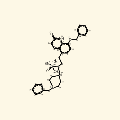 CC(C)(C)S(C)(C)(=O)N(CCc1ccc(OCc2ccccc2)c2[nH]c(=O)ccc12)CC1CCN(Cc2ccccc2)CC1